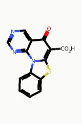 O=C(O)c1c(=O)c2cncnc2n2c1sc1ccccc12